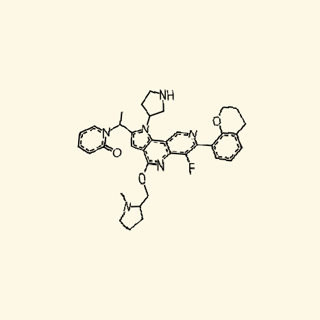 CC(c1cc2c(OCC3CCCN3C)nc3c(F)c(-c4cccc5c4OCCC5)ncc3c2n1C1CCNC1)n1ccccc1=O